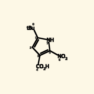 CC(C)(C)c1cc(C(=O)O)c([N+](=O)[O-])[nH]1